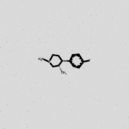 C[C@@H]1CN(N)CC[C@H]1c1ccc(F)cc1